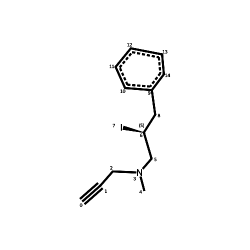 C#CCN(C)C[C@@H](I)Cc1ccccc1